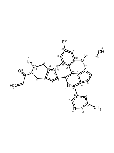 C=CC(=O)N1Cc2cc(-c3nc(-c4cnnc(C)c4)c4ccsc4c3-c3c(F)cc(F)cc3OCCO)nn2C[C@H]1C